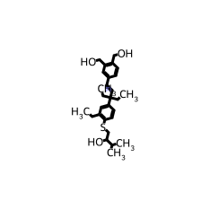 CCc1cc(C(/C=C/c2ccc(CO)c(CO)c2)(CC)CC)ccc1SCC(O)C(C)C